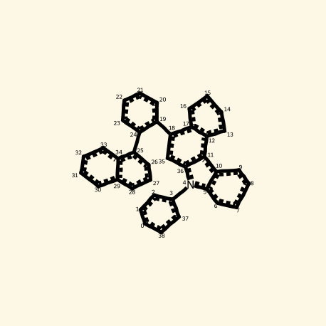 c1ccc(-n2c3ccccc3c3c4ccccc4c(-c4ccccc4-c4cccc5ccccc45)cc32)cc1